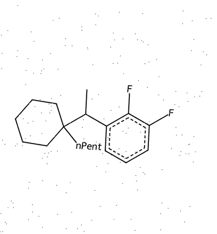 CCCCCC1(C(C)c2cccc(F)c2F)CCCCC1